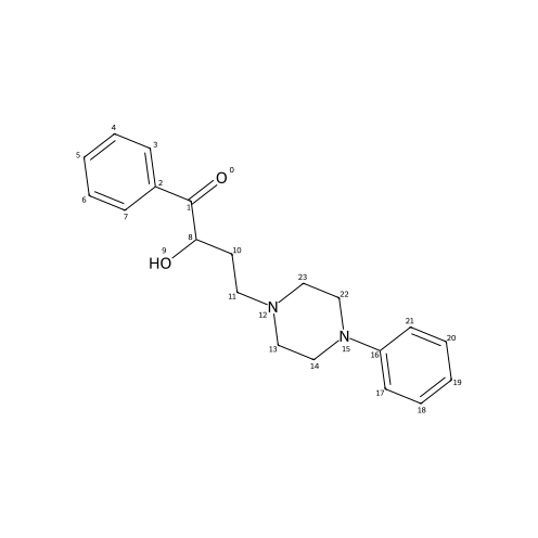 O=C(c1ccccc1)C(O)CCN1CCN(c2ccccc2)CC1